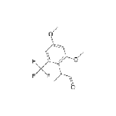 COc1cc(OC)c(C(C)C=O)c(C(F)(F)F)c1